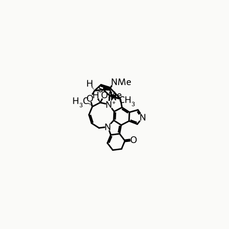 CNC(=S)N(C)[N@@+]12C3=C4C=C[C@@H](C3)O[C@](C)(/C=C\Cn3c5c(c6c7c(c4c1c63)C=NC=7)C(=O)CCC=5)[C@@H]2OC